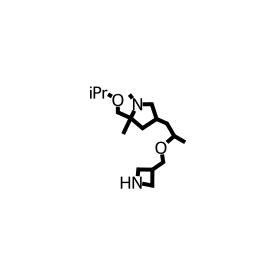 CC(C)OCC1(C)CC(CC(C)OCC2CNC2)CN1C